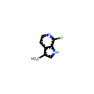 O=C(O)c1c[nH]c2c(Cl)nccc12